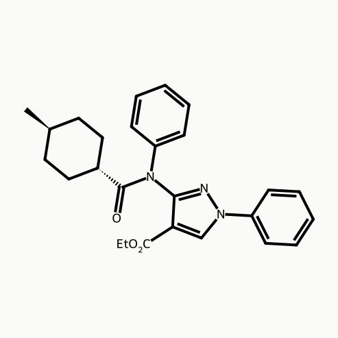 CCOC(=O)c1cn(-c2ccccc2)nc1N(c1ccccc1)C(=O)[C@H]1CC[C@H](C)CC1